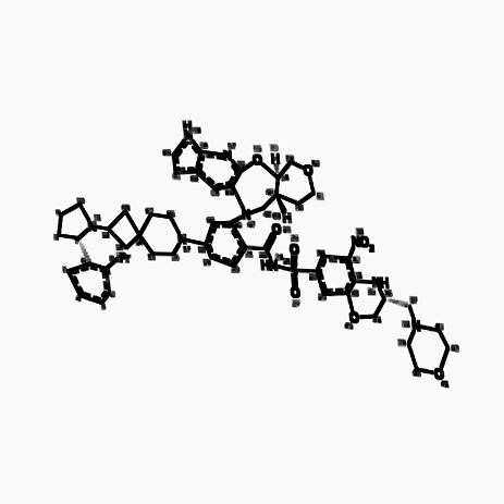 CC(C)c1ccccc1[C@@H]1CCCN1C1CC2(CCN(c3ccc(C(=O)NS(=O)(=O)c4cc5c(c([N+](=O)[O-])c4)N[C@H](CN4CCOCC4)CO5)c(N4C[C@H]5CCOC[C@@H]5Oc5nc6[nH]ccc6cc54)c3)CC2)C1